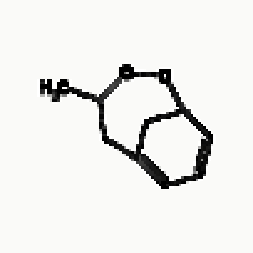 CC1CC2=CC=C[C](C2)OO1